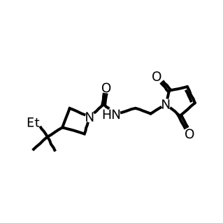 CCC(C)(C)C1CN(C(=O)NCCN2C(=O)C=CC2=O)C1